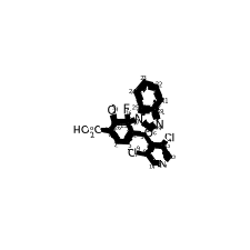 O=C(O)C1=CC=C(C(=O)c2c(Cl)cncc2Cl)C(F)(n2cnc3ccccc32)C1=O